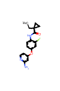 COCC1(C(=O)Nc2ccc(Oc3ccnc(N)c3)cc2F)CC1